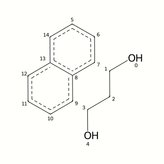 OCCCO.c1ccc2ccccc2c1